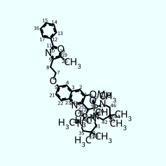 COc1cc2cc(OCCc3nc(-c4ccccc4)oc3C)ccc2nc1C(P1(=O)N(C)CC(C)(C)CN1C)P1(=O)N(C)CC(C)(C)CN1C